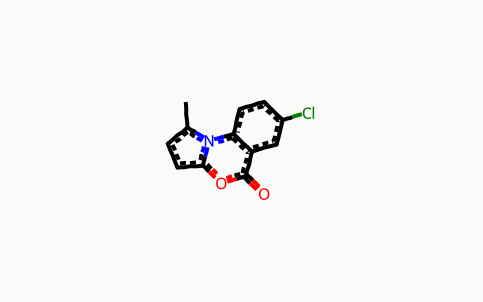 Cc1ccc2oc(=O)c3cc(Cl)ccc3n12